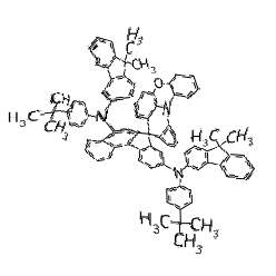 CC(C)(C)c1ccc(N(c2ccc3c(c2)-c2ccccc2C3(C)C)c2ccc3c(c2)C2(c4ccccc4N4c5ccccc5Oc5cccc2c54)c2cc(N(c4ccc(C(C)(C)C)cc4)c4ccc5c(c4)-c4ccccc4C5(C)C)c4ccccc4c2-3)cc1